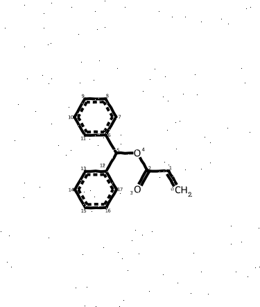 C=CC(=O)OC(c1ccccc1)c1ccccc1